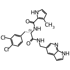 Cc1cc[nH]c1C(=O)N[C@@H](Cc1ccc(Cl)c(Cl)c1)C(=O)NCc1cnc2[nH]ccc2c1